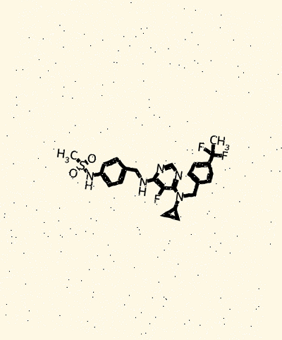 CC(F)(F)c1ccc(CN(c2ncnc(NCc3ccc(NS(C)(=O)=O)cc3)c2F)C2CC2)cc1